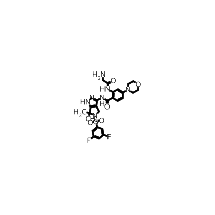 CC1(C)c2[nH]nc(NC(=O)c3ccc(N4CCOCC4)cc3NC(=O)CN)c2CN1S(=O)(=O)c1cc(F)cc(F)c1